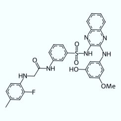 COc1cc(O)cc(Nc2nc3ccccc3nc2NS(=O)(=O)c2cccc(NC(=O)CNc3ccc(C)cc3F)c2)c1